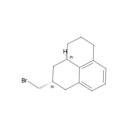 BrC[C@H]1Cc2cccc3c2[C@H](CCC3)C1